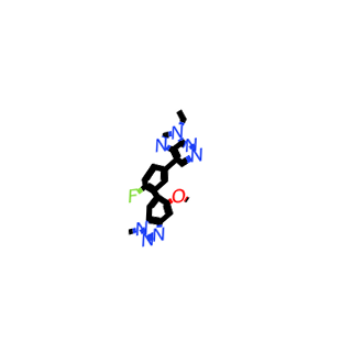 CCn1cnc2c(-c3ccc(F)c(-c4cc5c(cc4OC)nnn5C)c3)cnnc21